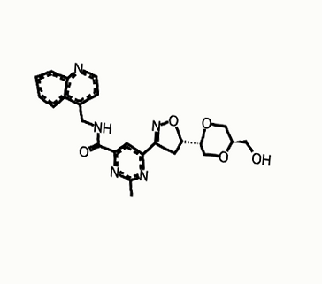 Cc1nc(C(=O)NCc2ccnc3ccccc23)cc(C2=NOC([C@H]3CO[C@H](CO)CO3)C2)n1